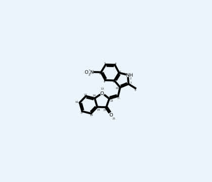 Cc1[nH]c2ccc([N+](=O)[O-])cc2c1C=C1Oc2ccccc2C1=O